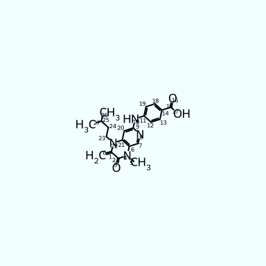 C=C1C(=O)N(C)c2cnc(Nc3ccc(C(=O)O)cc3)cc2N1CCC(C)C